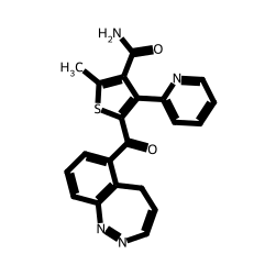 Cc1sc(C(=O)c2cccc3c2CC=CN=N3)c(-c2ccccn2)c1C(N)=O